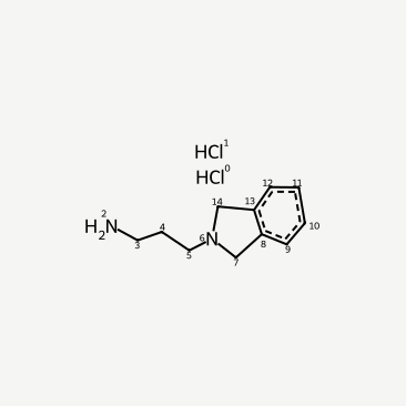 Cl.Cl.NCCCN1Cc2ccccc2C1